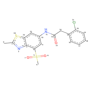 Cc1nc2c(S(C)(=O)=O)cc(NC(=O)Cc3ccccc3Cl)cc2s1